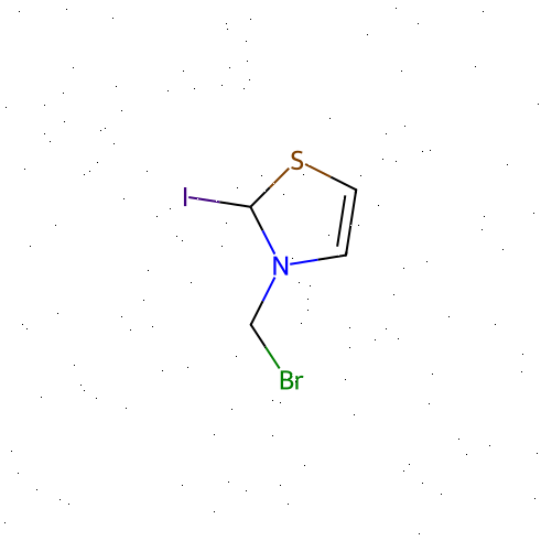 BrCN1C=CSC1I